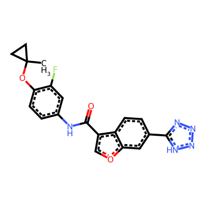 CC1(Oc2ccc(NC(=O)c3coc4cc(-c5nnn[nH]5)ccc34)cc2F)CC1